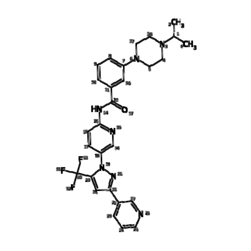 CC(C)N1CCN(c2cccc(C(=O)Nc3ccc(-n4nc(-c5cccnc5)cc4C(F)(F)F)cn3)c2)CC1